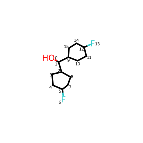 OC(C1CCC(F)CC1)C1CCC(F)CC1